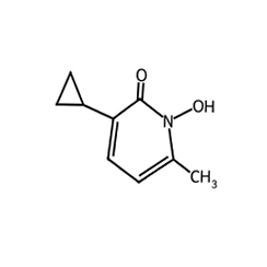 Cc1ccc(C2CC2)c(=O)n1O